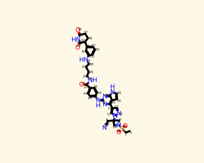 CCS(=O)(=O)N1CC(CC#N)(n2cc(-c3nc(Nc4ccc(C(=O)NCCCCNc5cccc(C6CCC(=O)NC6=O)c5)cc4)nc4[nH]ccc34)cn2)C1